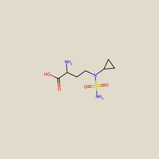 NC(CCN(C1CC1)S(N)(=O)=O)C(=O)O